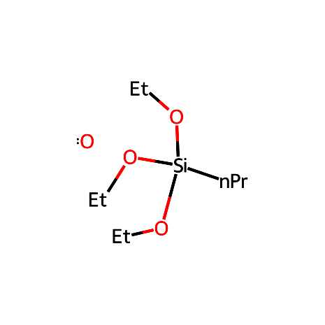 CCC[Si](OCC)(OCC)OCC.[O]